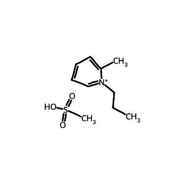 CCC[n+]1ccccc1C.CS(=O)(=O)O